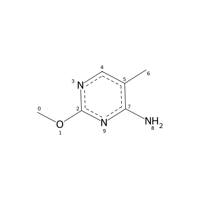 COc1ncc(C)c(N)n1